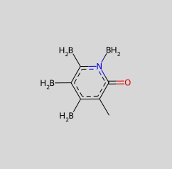 Bc1c(B)c(B)n(B)c(=O)c1C